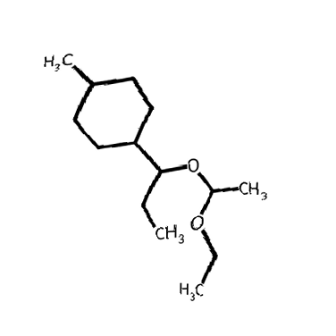 CCOC(C)OC(CC)C1CCC(C)CC1